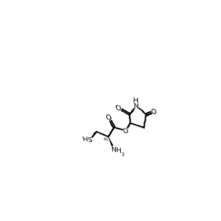 N[C@@H](CS)C(=O)OC1CC(=O)NC1=O